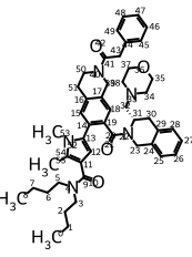 CCCCN(CCCC)C(=O)c1cc(-c2cc3c(cc2C(=O)N2Cc4ccccc4C[C@H]2CN2CCOCC2)CN(C(=O)Cc2ccccc2)CC3)n(C)c1C